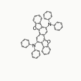 c1ccc(N(c2ccccc2)c2cc3c(cc(N(c4ccccc4)c4ccccc4)c4c5ccccc5oc34)c3oc4ccccc4c23)cc1